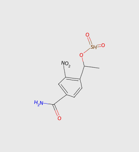 CC(O[SH](=O)=O)c1ccc(C(N)=O)cc1[N+](=O)[O-]